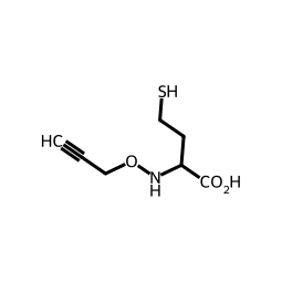 C#CCONC(CCS)C(=O)O